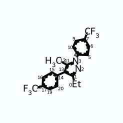 CCc1nn(-c2ccc(C(F)(F)F)cc2)c(C)c1-c1ccc(C(F)(F)F)cc1